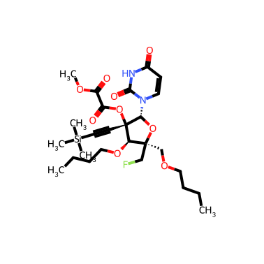 CCCCOC[C@@]1(CF)O[C@@H](n2ccc(=O)[nH]c2=O)[C@@](C#C[Si](C)(C)C)(OC(=O)C(=O)OC)[C@@H]1OCCCC